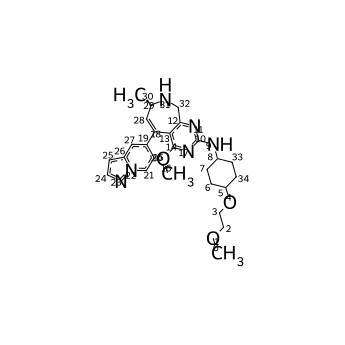 COCCOC1CCC(Nc2nc3c(c(OC)n2)C(c2ccn4nccc4c2)=C[C@@H](C)NC3)CC1